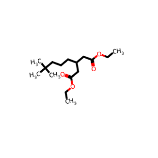 CCOC(=O)CC(CCCC(C)(C)C)CC(=O)OCC